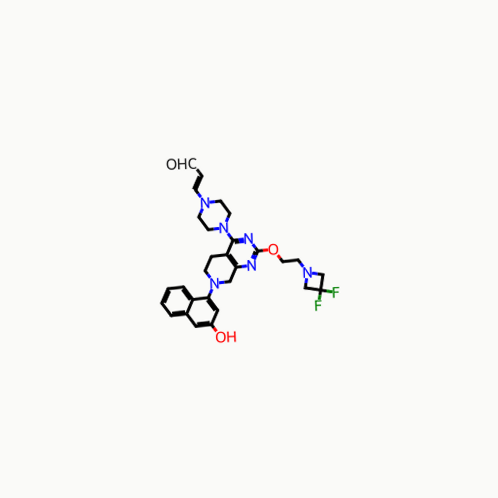 O=CC=CN1CCN(c2nc(OCCN3CC(F)(F)C3)nc3c2CCN(c2cc(O)cc4ccccc24)C3)CC1